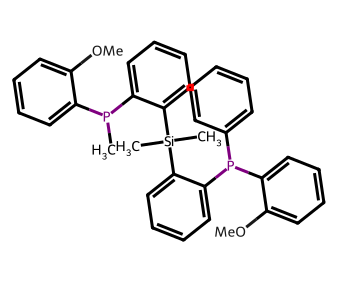 COc1ccccc1P(C)c1ccccc1[Si](C)(C)c1ccccc1P(c1ccccc1)c1ccccc1OC